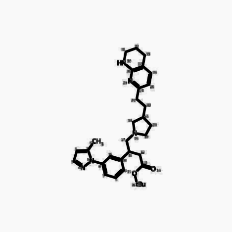 Cc1ccnn1-c1cccc(C(CC(=O)OC(C)(C)C)CN2CCC(CCc3ccc4c(n3)NCCC4)C2)c1